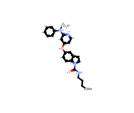 CSCCCNC(=O)n1ccc2cc(Oc3ccnc(N(C(=O)O)c4ccccc4)c3)ccc21